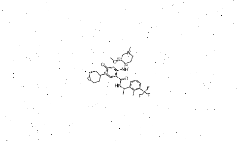 CO[C@H]1CN(C)CC[C@@H]1Nc1cc(=O)n(C2CCOCC2)cc1C(=O)NC(C)c1cccc(C(F)(F)F)c1C